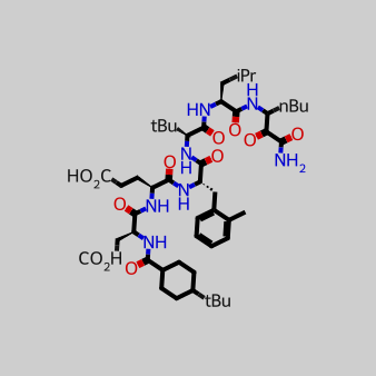 CCCCC(NC(=O)[C@H](CC(C)C)NC(=O)[C@@H](NC(=O)[C@H](Cc1ccccc1C)NC(=O)[C@H](CCC(=O)O)NC(=O)[C@H](CC(=O)O)NC(=O)C1CCC(C(C)(C)C)CC1)C(C)(C)C)C(=O)C(N)=O